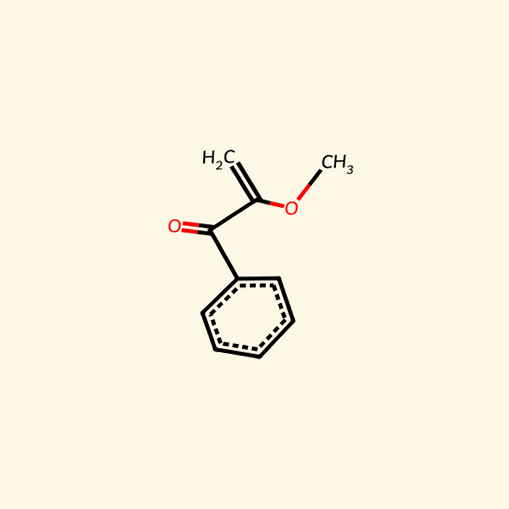 C=C(OC)C(=O)c1ccccc1